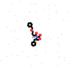 C[C@H](CCOCc1ccccc1)C(=O)N1C(=O)OC[C@H]1Cc1ccccc1